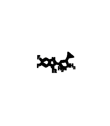 CCn1c(C(/C=C(\N)C2CC2)=C/N)nc2cc(F)c(F)cc21